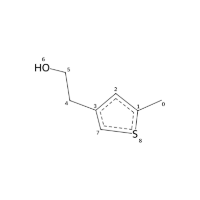 Cc1cc(CCO)cs1